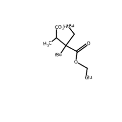 CCC(C)C(CC(C)(C)C)(C(=O)OCC(C)(C)C)C(C)C(=O)O